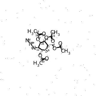 CC(=O)OC[C@@H]1S[C@H](OC(C)=O)[C@@H](N=[N+]=[N-])[C@@H](OC(C)=O)[C@@H]1OC(C)=O